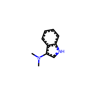 CN(C)c1c[nH]c2ccccc12